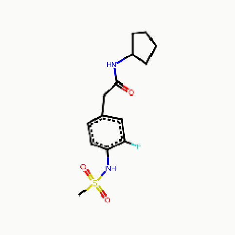 CS(=O)(=O)Nc1ccc(CC(=O)NC2CCCC2)cc1F